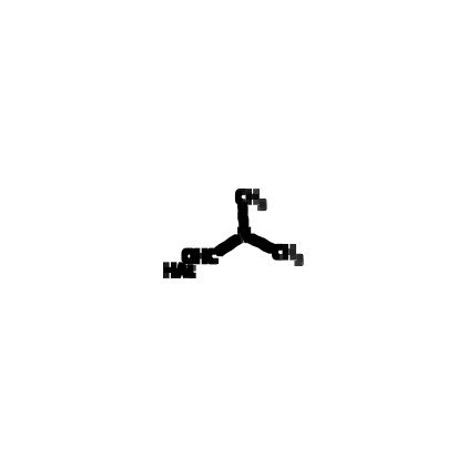 CN(C)C=O.[AtH]